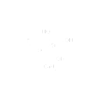 O[Si](O)(O)OF.[CaH2]